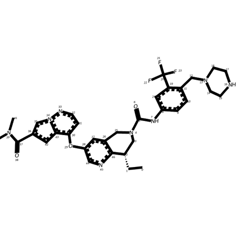 CC[C@H]1CN(C(=O)Nc2ccc(CN3CCNCC3)c(C(F)(F)F)c2)Cc2cc(Oc3ccnn4cc(C(=O)N(C)C)cc34)cnc21